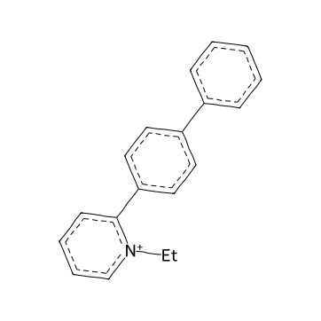 CC[n+]1ccccc1-c1ccc(-c2ccccc2)cc1